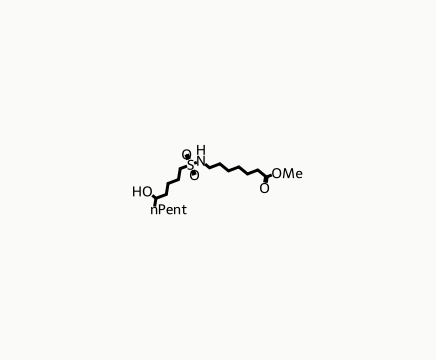 CCCCCC(O)CCCCS(=O)(=O)NCCCCCCC(=O)OC